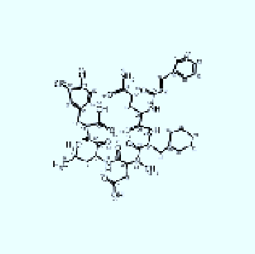 CC(C)C[C@H](NC(=O)C(CC(=O)O)N(C)C(=O)[C@H](CC1CCCCC1)NC(=O)C(CCC(N)=O)NC(=O)/C=C/c1cccnc1)C(=O)NC(Cc1ccc(Cl)c(Cl)c1)C(=O)O